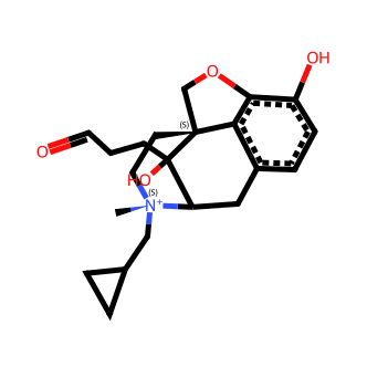 C[N@@+]1(CC2CC2)CC[C@@]23COc4c(O)ccc(c42)CC1C3(O)CCC=O